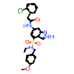 C=CN(Cc1ccc(OC)cc1)S(=O)(=O)c1cc(NC(=O)Cc2ccccc2Cl)cc2n[nH]cc12